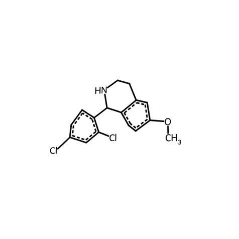 COc1ccc2c(c1)CCNC2c1ccc(Cl)cc1Cl